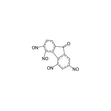 O=Nc1cc(N=O)c2c(c1)C(=O)c1ccc(N=O)c(N=O)c1-2